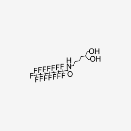 O=C(NCCCCC(CO)CO)C(F)(F)C(F)(F)C(F)(F)C(F)(F)C(F)(F)C(F)(F)C(F)(F)F